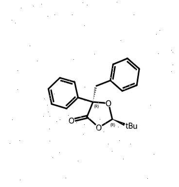 CC(C)(C)[C@H]1OC(=O)[C@@](Cc2ccccc2)(c2ccccc2)O1